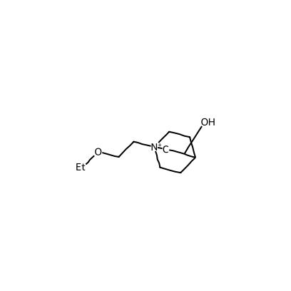 CCOCC[N+]12CCC(CC1)C(O)C2